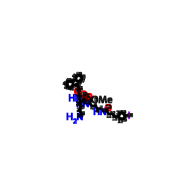 COC(=O)C(CCCCNC(=O)CCCc1ccc(I)cc1)NC(=O)C(CCCCN)NC(=O)OCC1c2ccccc2-c2ccccc21